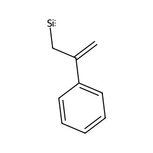 C=C(C[Si])c1ccccc1